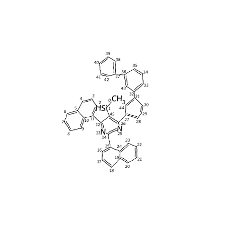 C[SiH]1c2ccc3ccccc3c2-c2nc(-c3cccc4ccccc34)nc(-c3cccc(-c4cccc(-c5ccccc5)c4)c3)c21